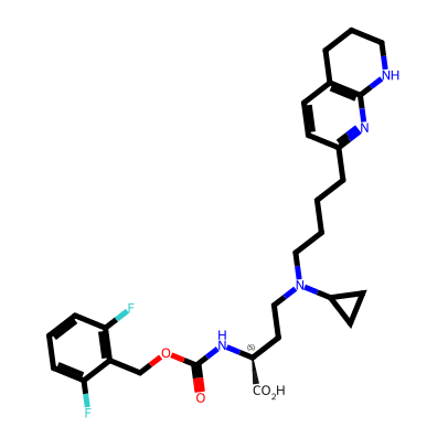 O=C(N[C@@H](CCN(CCCCc1ccc2c(n1)NCCC2)C1CC1)C(=O)O)OCc1c(F)cccc1F